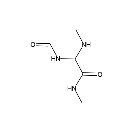 CNC(=O)C(NC)NC=O